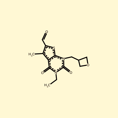 CCn1c(=O)c2c(C)c(C=O)sc2n(CC2COC2)c1=O